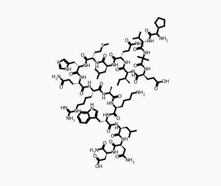 CC[C@H](C)[C@H](NC(=O)[C@H](CCC(=O)O)NC(=O)C(C)(C)NC(=O)[C@@H](NC(=O)C(N)C1CCCC1)C(C)C)C(=O)N[C@@H](CCC(N)=O)C(=O)N[C@@H](CC(C)C)C(=O)N[C@@H](CCSC)C(=O)N[C@@H](Cc1cnc[nH]1)C(=O)N[C@@H](CCC(N)=O)C(=O)N[C@@H](CCCCNC(=N)N)C(=O)N[C@@H](C)C(=O)N[C@@H](CCCCN)C(=O)N[C@@H](Cc1c[nH]c2ccccc12)C(=O)N[C@@H](CC(C)C)C(=O)N[C@@H](CC(N)=O)C(=O)N[C@@H](CC(=O)O)C(N)=O